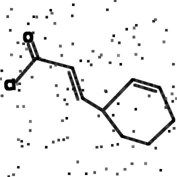 O=C(Cl)C=CC1C=CCCC1